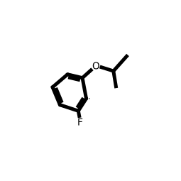 CC(C)Oc1[c]c(F)ccc1